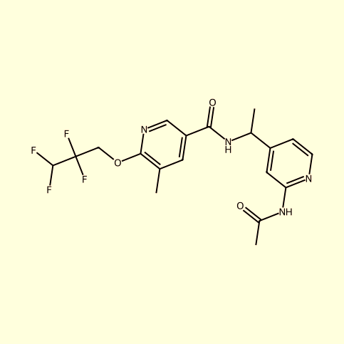 CC(=O)Nc1cc(C(C)NC(=O)c2cnc(OCC(F)(F)C(F)F)c(C)c2)ccn1